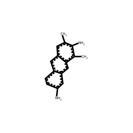 Cc1cc2cc3ccc(N)cc3cc2c(C)c1N